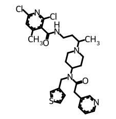 Cc1cc(Cl)nc(Cl)c1C(=O)NCCC(C)N1CCC(N(Cc2ccsc2)C(=O)Cc2cccnc2)CC1